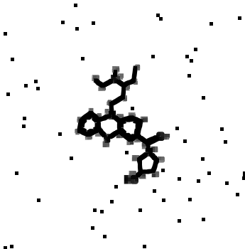 CCC(CCN1c2ccccc2Sc2cc(C(=O)N3CCC(O)C3)ccc21)N(C)CC